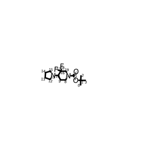 CC(C)(C)OC(=O)N1CCC(N2CCCC2)C(F)(F)C1